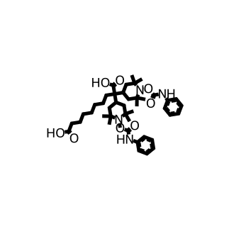 CC1(C)CC(C(CCCCCCCC(=O)O)(C(=O)O)C2CC(C)(C)N(OC(=O)Nc3ccccc3)C(C)(C)C2)CC(C)(C)N1OC(=O)Nc1ccccc1